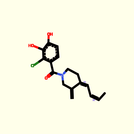 C=C1CN(C(=O)c2ccc(O)c(O)c2Cl)CC/C1=C/C=C\C